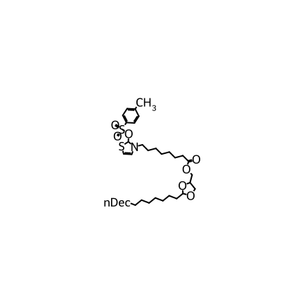 CCCCCCCCCCCCCCCCCC1OCC(COC(=O)CCCCCCCN2C=CSC2OS(=O)(=O)c2ccc(C)cc2)O1